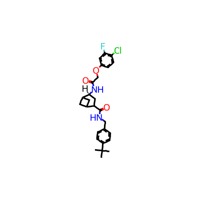 CC(C)(C)c1ccc(CNC(=O)C2C[C@H](NC(=O)COc3ccc(Cl)c(F)c3)C3CC2C3)cc1